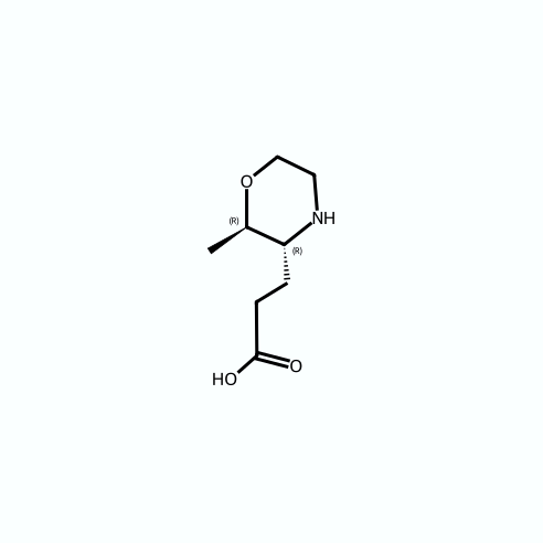 C[C@H]1OCCN[C@@H]1CCC(=O)O